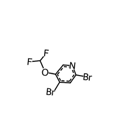 FC(F)Oc1cnc(Br)cc1Br